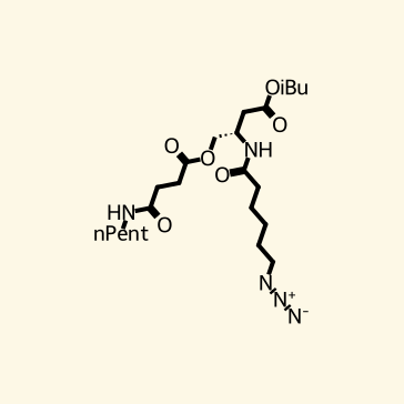 CCCCCNC(=O)CCC(=O)OC[C@H](CC(=O)OCC(C)C)NC(=O)CCCCCN=[N+]=[N-]